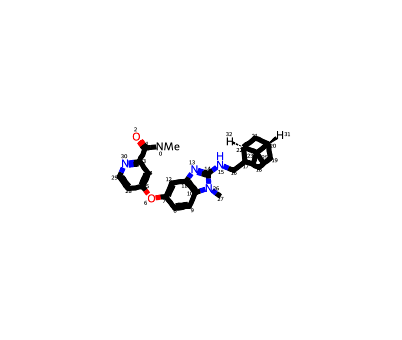 CNC(=O)c1cc(Oc2ccc3c(c2)nc(NCC2CC[C@H]4C[C@H]2C4(C)C)n3C)ccn1